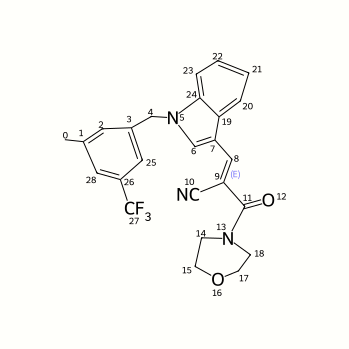 Cc1cc(Cn2cc(/C=C(\C#N)C(=O)N3CCOCC3)c3ccccc32)cc(C(F)(F)F)c1